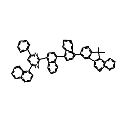 CC1(C)c2ccc(-c3ccc(-c4ccc(-c5nc(-c6ccccc6)cc(-c6cccc7ccccc67)n5)c5ccccc45)c4ccccc34)cc2-c2ccc3ccccc3c21